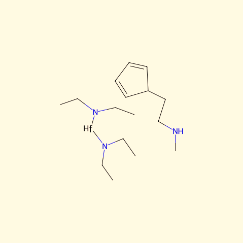 CC[N](CC)[Hf][N](CC)CC.CNCCC1C=CC=C1